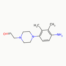 Cc1c(N)ccc(N2CCN(CC=O)CC2)c1C